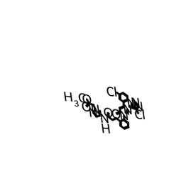 COC(=O)Cn1cc(NC(=O)CCc2ccccc2-n2cnc(-c3cc(Cl)ccc3-n3cc(Cl)nn3)cc2=O)cn1